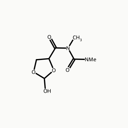 CNC(=O)N(C)C(=O)C1COC(O)O1